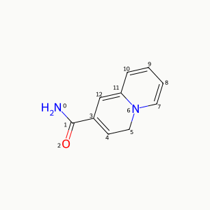 NC(=O)C1=CCN2C=CC=CC2=C1